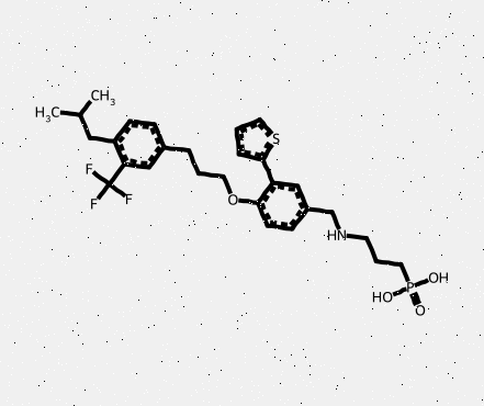 CC(C)Cc1ccc(CCCOc2ccc(CNCCCP(=O)(O)O)cc2-c2cccs2)cc1C(F)(F)F